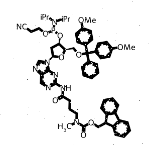 COc1ccc(C(OC[C@H]2O[C@@H](n3cnc4cnc(NC(=O)CCCN(C)C(=O)OCC5c6ccccc6-c6ccccc65)nc43)C[C@H]2OP(OCCC#N)N(C(C)C)C(C)C)(c2ccccc2)c2ccc(OC)cc2)cc1